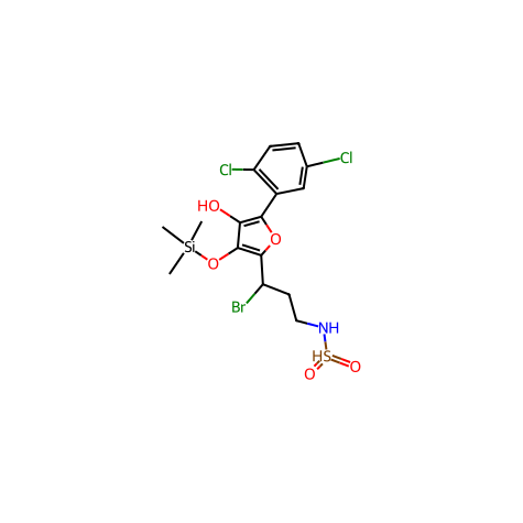 C[Si](C)(C)Oc1c(C(Br)CCN[SH](=O)=O)oc(-c2cc(Cl)ccc2Cl)c1O